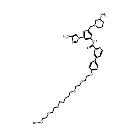 CCCOCCOCCOCCOCCOCCOCCOc1ccc(-c2ccnc(C(=O)Nc3cc(CN4CCC[C@H](N)C4)cc(-n4cnc(C)c4)c3)c2)cc1